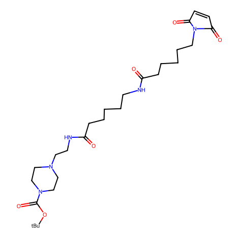 CC(C)(C)OC(=O)N1CCN(CCNC(=O)CCCCCNC(=O)CCCCCN2C(=O)C=CC2=O)CC1